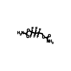 NC(=O)OCC(F)(F)C(F)(F)C(F)(F)OC(N)=O